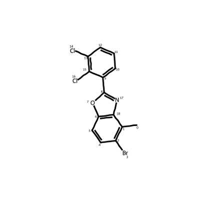 Cc1c(Br)ccc2oc(-c3cccc(Cl)c3Cl)nc12